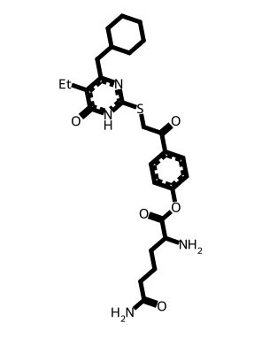 CCc1c(CC2CCCCC2)nc(SCC(=O)c2ccc(OC(=O)C(N)CCCC(N)=O)cc2)[nH]c1=O